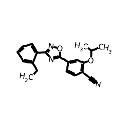 CCc1ccccc1-c1noc(-c2ccc(C#N)c(OC(C)C)c2)n1